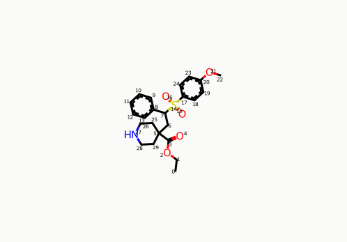 CCOC(=O)C1(CC(c2ccccc2)S(=O)(=O)c2ccc(OC)cc2)CCNCC1